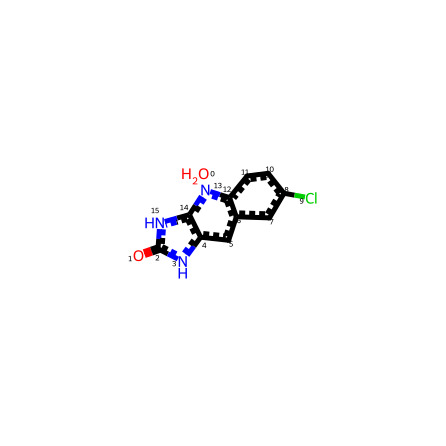 O.O=c1[nH]c2cc3cc(Cl)ccc3nc2[nH]1